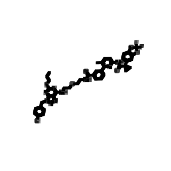 CCCSc1nc(NCCOCCNC(=O)c2cccc(-c3nc(NC(=O)C4(c5ccc6c(c5)OC(F)(F)O6)CC4)ccc3C)c2)c2nnn(Cc3ccc(Cl)cc3)c2n1